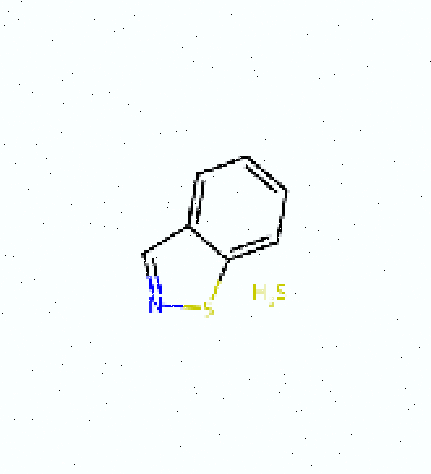 S.c1ccc2sncc2c1